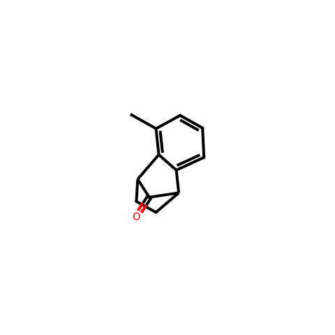 Cc1cccc2c1C1CCC2C1=O